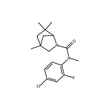 CN(C(=O)N1CC2(C)CC1C(C)(C)C2)c1ccc(Cl)cc1F